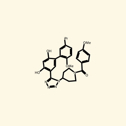 COc1ccc(C(=O)N2CCC(n3nnnc3-c3cc(-c4cc(C(C)C)ccc4OC)c(O)cc3O)CC2)cc1